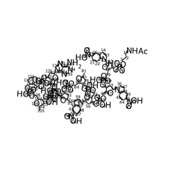 CC(=O)NCCCOP(=O)(O)OC1CC(n2ccc3cc([N+](=O)O)ccc32)OC1COP(=O)(O)OC1CC(n2ccc3cc([N+](=O)O)ccc32)OC1COP(=O)(O)OC1CC(n2ccc3cc([N+](=O)O)ccc32)OC1COP(=O)(O)OC1CC(C)OC1COP(=O)(O)OC1CC(C)OC1COP(=O)(O)OC1CC(C)OC1COP(=O)(O)OC1CCOC1COP(=O)(O)OC1CC(n2cnc3c(N)ncnc32)OC1COP(=O)(O)O